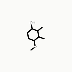 COC1CCC(O)C(C)C1C